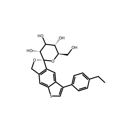 CCc1ccc(-c2csc3cc4c(cc23)[C@]2(OC4)O[C@H](CO)[C@@H](O)C(O)[C@H]2O)cc1